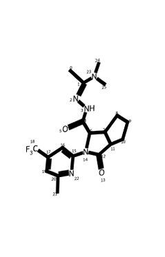 CC(=NNC(=O)C1C2CCCC2C(=O)N1c1cc(C(F)(F)F)cc(C)n1)N(C)C